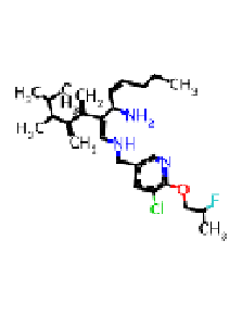 C=C(C(=C)C(C)C(C)C)/C(=C/NCc1cnc(OCC(C)F)c(Cl)c1)C(N)/C=C\CCC